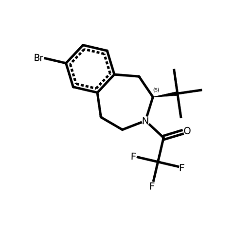 CC(C)(C)[C@@H]1Cc2ccc(Br)cc2CCN1C(=O)C(F)(F)F